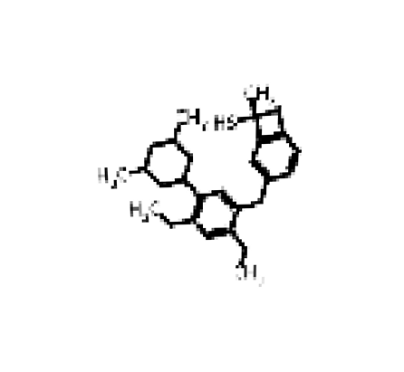 CCc1cc(CC)c(C2CC(C)CC(C)C2)cc1Cc1ccc2c(c1)C(C)(S)C2